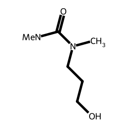 CNC(=O)N(C)CCCO